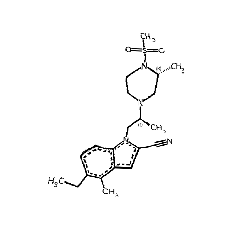 CCc1ccc2c(cc(C#N)n2C[C@H](C)N2CCN(S(C)(=O)=O)[C@H](C)C2)c1C